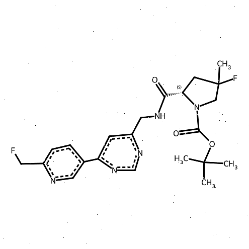 CC1(F)C[C@@H](C(=O)NCc2cc(-c3ccc(CF)nc3)ncn2)N(C(=O)OC(C)(C)C)C1